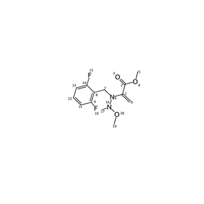 C=C(C(=O)OC)N(Cc1c(F)cccc1F)N(C)OC